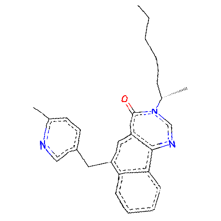 CCCCC[C@H](C)n1cnc2c(cc(Cc3ccc(C)nc3)c3ccccc32)c1=O